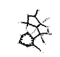 CC1CC(F)(F)[C@H]2[C@@H]1ON[C@]2(C)c1ccccc1F